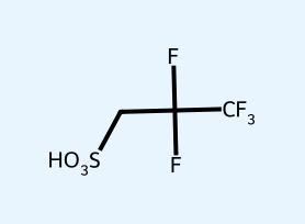 O=S(=O)(O)CC(F)(F)C(F)(F)F